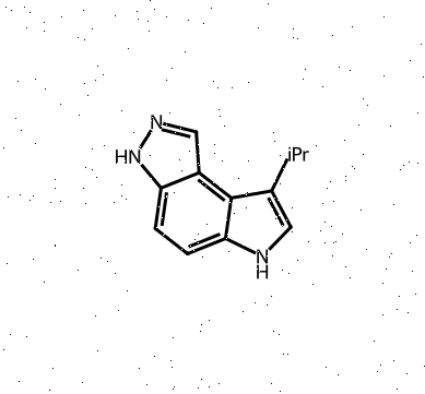 CC(C)c1c[nH]c2ccc3[nH]ncc3c12